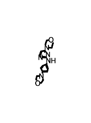 c1cc(N2CCOCC2)nc(Nc2ccc(N3CCOCC3)cc2)n1